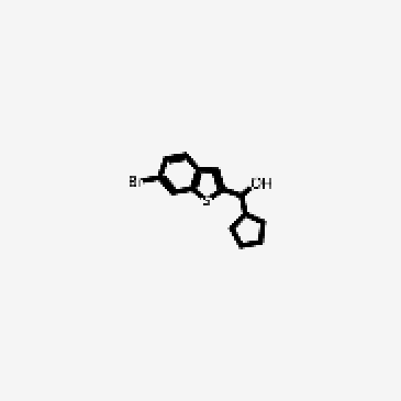 OC(c1cc2ccc(Br)cc2s1)C1CCCC1